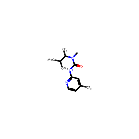 COC(OC)C(N(C)C(=O)Nc1cc(C(F)(F)F)ccn1)C(F)(F)F